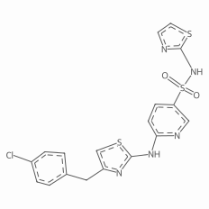 O=S(=O)(Nc1nccs1)c1ccc(Nc2nc(Cc3ccc(Cl)cc3)cs2)nc1